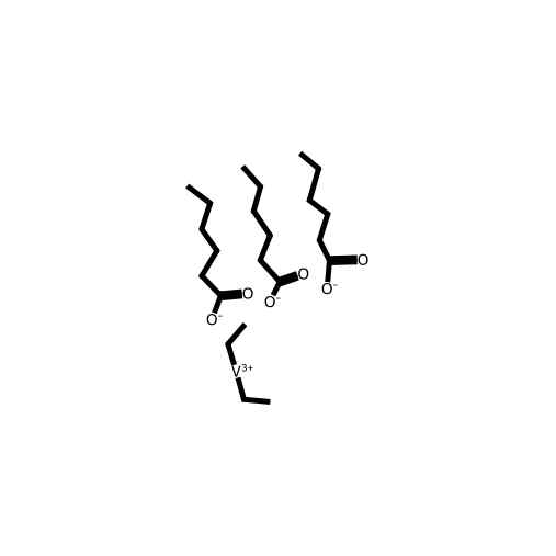 CCCCCC(=O)[O-].CCCCCC(=O)[O-].CCCCCC(=O)[O-].C[CH2][V+3][CH2]C